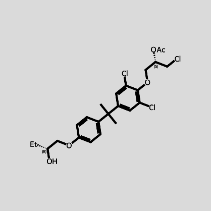 CC[C@@H](O)COc1ccc(C(C)(C)c2cc(Cl)c(OC[C@@H](CCl)OC(C)=O)c(Cl)c2)cc1